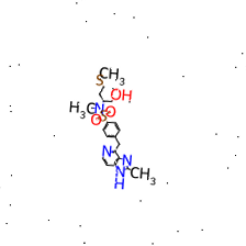 CSCC[C@@H](CO)N(C)S(=O)(=O)c1ccc(Cc2nccc3[nH]c(C)nc23)cc1